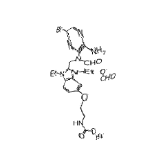 CCn1c(CN(C=O)c2nc(Br)cnc2N)[n+](CC)c2ccc(OCCNC(=O)OC(C)(C)C)cc21.O=C[O-]